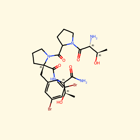 C[C@@H](O)[C@@H](N)C(=O)N1CCCC1C(=O)N1CCC[C@@]1(Cc1cc(Br)cc(Br)c1)C(=O)N[C@@H](C(N)=O)[C@@H](C)O